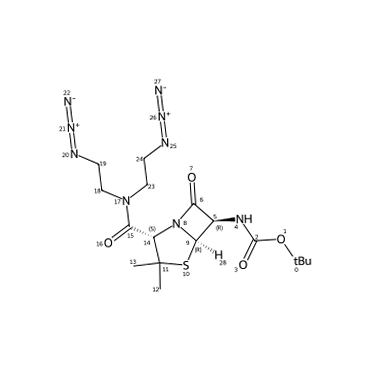 CC(C)(C)OC(=O)N[C@@H]1C(=O)N2[C@@H]1SC(C)(C)[C@@H]2C(=O)N(CCN=[N+]=[N-])CCN=[N+]=[N-]